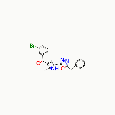 Cc1[nH]c(-c2nnc(Cc3ccccc3)o2)c(C)c1C(=O)c1cccc(Br)c1